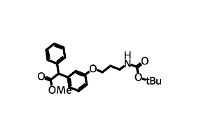 COC(=O)C(c1ccccc1)c1cccc(OCCCNC(=O)OC(C)(C)C)c1